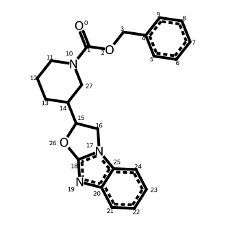 O=C(OCc1ccccc1)N1CCCC(C2Cn3c(nc4ccccc43)O2)C1